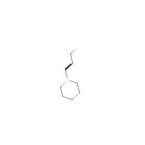 CC/C=C/N1CCCCC1